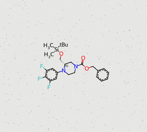 CC(C)(C)[Si](C)(C)OC[C@@H]1CN(C(=O)OCc2ccccc2)CCN1c1cc(F)c(F)c(F)c1